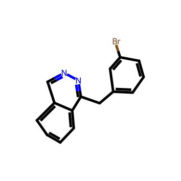 Brc1cccc(Cc2nncc3ccccc23)c1